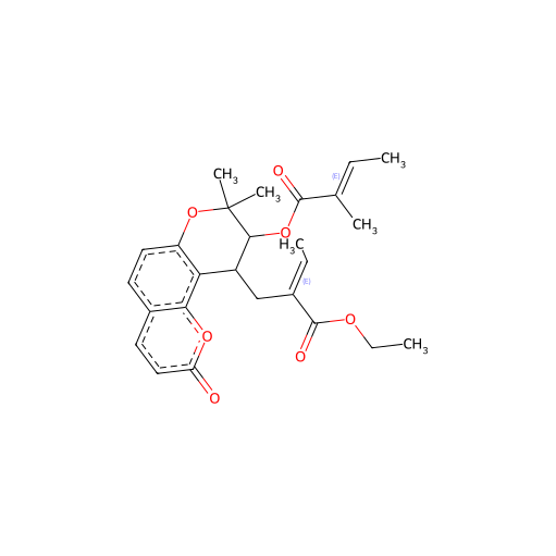 C/C=C(\C)C(=O)OC1C(C/C(=C\C)C(=O)OCC)c2c(ccc3ccc(=O)oc23)OC1(C)C